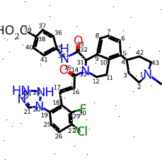 CN1CCC(c2cccc3c2CCN(C(=O)/C=C/c2c(N4C=NNN4)ccc(Cl)c2F)C3C(=O)Nc2ccc(C(=O)O)cc2)CC1